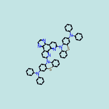 c1ccc(N(c2ccccc2)c2ccc3c(c2)Sc2ccccc2N3c2ccc3c4nccnc4c4ccc(N5c6ccccc6Sc6cc(N(c7ccccc7)c7ccccc7)ccc65)nc4c3n2)cc1